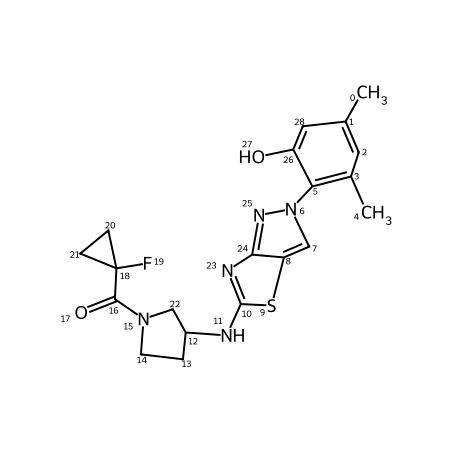 Cc1cc(C)c(-n2cc3sc(NC4CCN(C(=O)C5(F)CC5)C4)nc3n2)c(O)c1